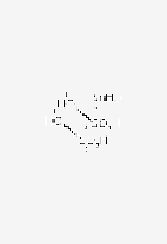 O=S(=O)(O)O.O=S(=O)(O)O.[SnH2]